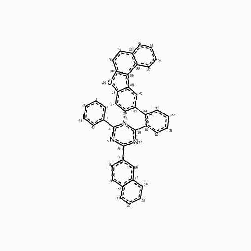 c1ccc(-c2nc(-c3ccc4ccccc4c3)nc(-c3ccccc3-c3ccc4oc5ccc6ccccc6c5c4c3)n2)cc1